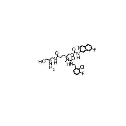 CN(C(=O)NCc1cccc(F)c1Cl)[C@@H](CCC(=O)NC[C@@H](N)CO)COC(=O)Nc1cc2cc(F)ccc2cn1